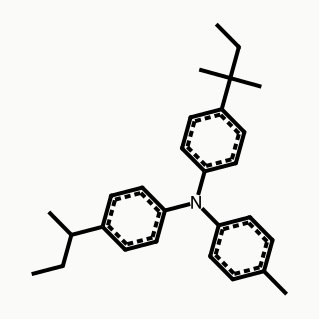 CCC(C)c1ccc(N(c2ccc(C)cc2)c2ccc(C(C)(C)CC)cc2)cc1